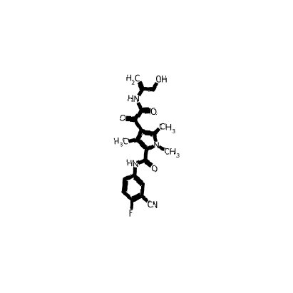 C=C(CO)NC(=O)C(=O)c1c(C)c(C(=O)Nc2ccc(F)c(C#N)c2)n(C)c1C